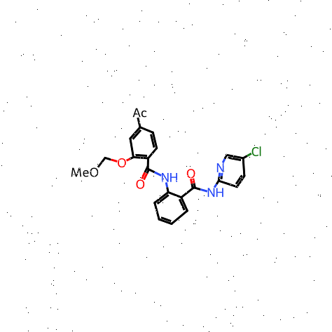 COCOc1cc(C(C)=O)ccc1C(=O)Nc1ccccc1C(=O)Nc1ccc(Cl)cn1